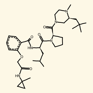 CC(C)C[C@@H](NC(=O)c1ccccc1OCC(=O)NC1(C)CC1)C(=O)N1CCC[C@@H]1C(=O)N1CCN(C)[C@@H](CC(C)(C)C)C1